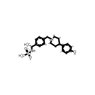 C[C@@H](NS(C)(=O)=O)c1ccc(CN2CCC(c3ccc(Cl)cc3)CC2)cc1